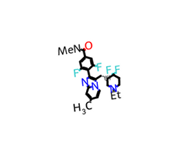 CCN1CCC(F)(F)[C@@H](Cc2c(-c3c(F)cc(C(=O)NC)cc3F)nc3cc(C)ccn23)C1